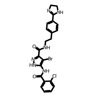 O=C(Nc1[nH]nc(C(=O)NCCc2ccc(C3=NCCN3)cc2)c1Br)c1ccccc1Cl